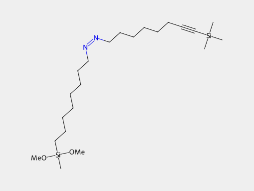 CO[Si](C)(CCCCCCCC/N=N\CCCCCCC#C[Si](C)(C)C)OC